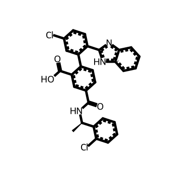 C[C@@H](NC(=O)c1ccc(-c2cc(Cl)ccc2-c2nc3ccccc3[nH]2)c(C(=O)O)c1)c1ccccc1Cl